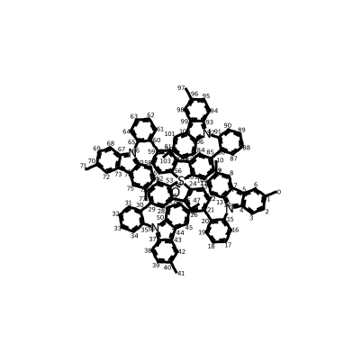 Cc1ccc2c(c1)c1cc(C)ccc1n2-c1ccccc1-c1ccc2c(c1)-c1cc(-c3ccccc3-n3c4ccc(C)cc4c4cc(C)ccc43)ccc1S21(=O)c2ccc(-c3ccccc3-n3c4ccc(C)cc4c4cc(C)ccc43)cc2-c2cc(-c3ccccc3-n3c4ccc(C)cc4c4cc(C)ccc43)ccc21